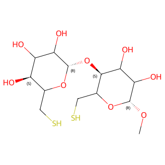 CO[C@@H]1OC(CS)[C@@H](O[C@@H]2OC(CS)[C@@H](O)C(O)C2O)C(O)C1O